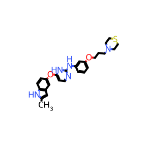 Cc1cc2cc(OC3=CC=NC(Nc4cccc(OCCCN5CCSCC5)c4)N3)ccc2[nH]1